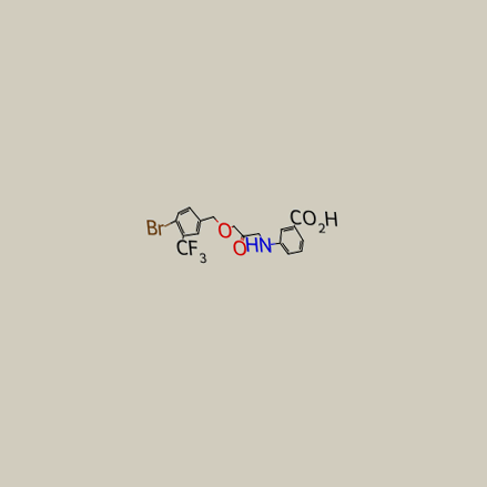 O=C(CNc1cccc(C(=O)O)c1)COCc1ccc(Br)c(C(F)(F)F)c1